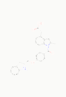 Cc1cc2c(CC(=O)O)cccc2n1C(=O)c1ccc(OC[C@@H]2Cc3ccccc3N2C)cc1